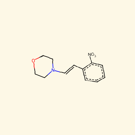 O=[N+]([O-])c1ccccc1/C=C/N1CCOCC1